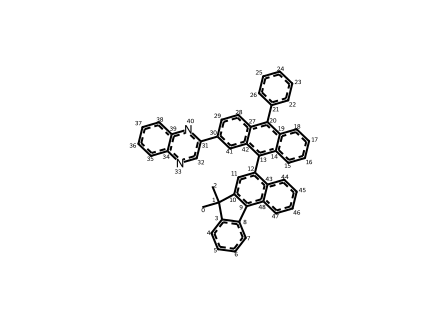 CC1(C)c2ccccc2-c2c1cc(-c1c3ccccc3c(-c3ccccc3)c3ccc(-c4cnc5ccccc5n4)cc13)c1ccccc21